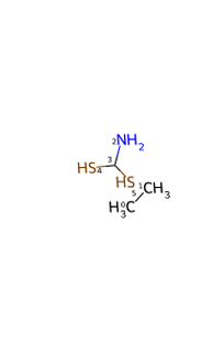 CC.NC(S)S